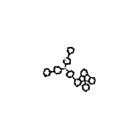 c1ccc(-c2ccc(N(c3ccc(-c4ccccc4)cc3)c3ccc(-c4cccc5c4-c4cccc6c4C5(c4ccccc4)c4ccccc4-6)cc3)cc2)cc1